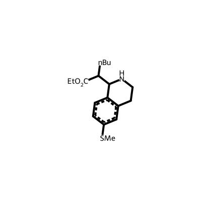 CCCCC(C(=O)OCC)C1NCCc2cc(SC)ccc21